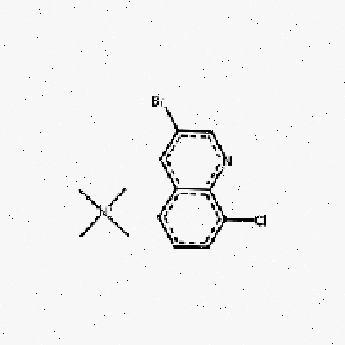 C[N+](C)(C)C.Clc1cccc2cc(Br)cnc12